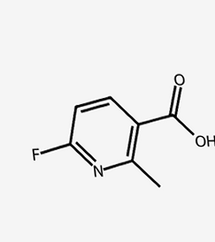 Cc1nc(F)ccc1C(=O)O